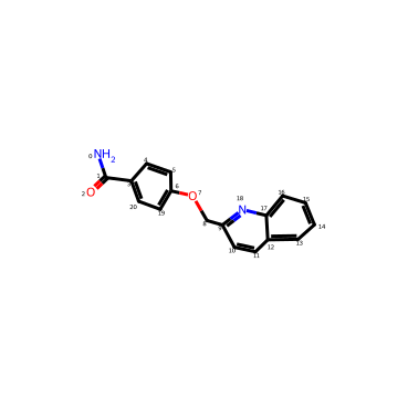 NC(=O)c1ccc(OCc2ccc3ccccc3n2)cc1